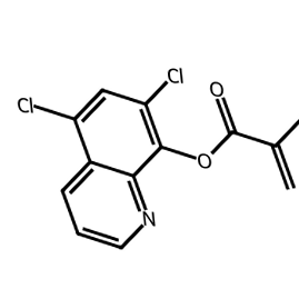 C=C(C)C(=O)Oc1c(Cl)cc(Cl)c2cccnc12